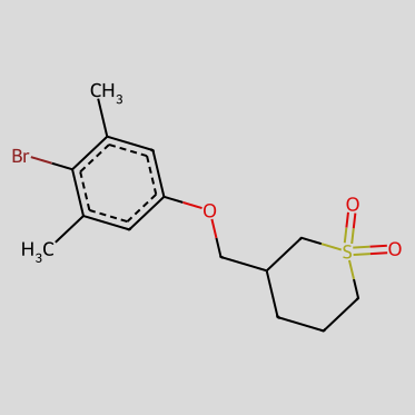 Cc1cc(OCC2CCCS(=O)(=O)C2)cc(C)c1Br